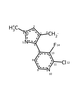 [CH2]c1cn(C)nc1-c1ccnc(Cl)c1F